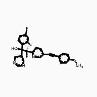 CSc1ccc(C#Cc2ccc(C(F)(F)C(O)(c3cncnc3)c3ccc(F)cc3F)nc2)cc1